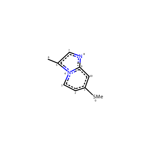 [CH2]Sc1ccn2c(C)cnc2c1